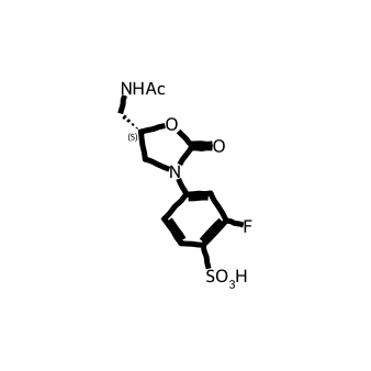 CC(=O)NC[C@H]1CN(c2ccc(S(=O)(=O)O)c(F)c2)C(=O)O1